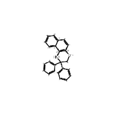 c1ccc(C2(c3ccccc3)COc3ccc4ccccc4c3N2)cc1